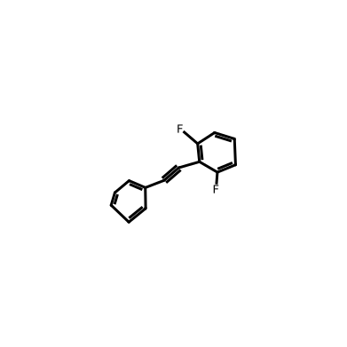 Fc1cccc(F)c1C#Cc1ccccc1